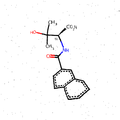 CC(C)(O)[C@H](NC(=O)c1ccc2ccccc2c1)C(=O)O